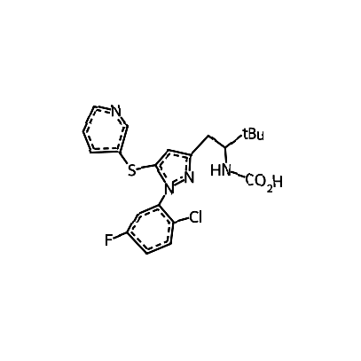 CC(C)(C)C(Cc1cc(Sc2cccnc2)n(-c2cc(F)ccc2Cl)n1)NC(=O)O